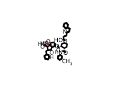 Cc1cccc(NC(=O)[C@H]2CCCC[C@H]2C(=O)O)c1.O=C(O)C1C(Cc2ccccc2)C(O)C2CCCCC21C(=O)O.O=C(O)C=Cc1ccc2ccccc2n1